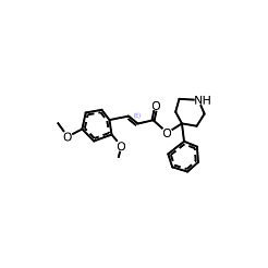 COc1ccc(/C=C/C(=O)OC2(c3ccccc3)CCNCC2)c(OC)c1